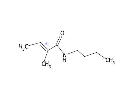 C/C=C(\C)C(=O)NCCCC